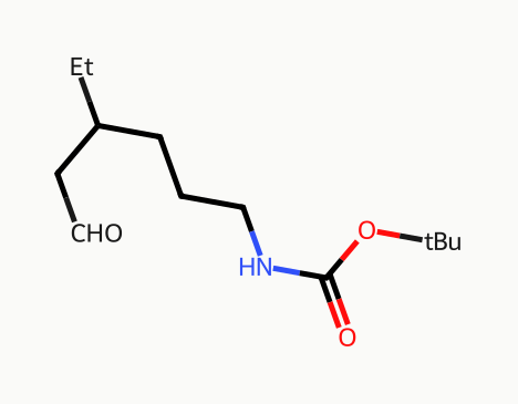 CCC(CC=O)CCCNC(=O)OC(C)(C)C